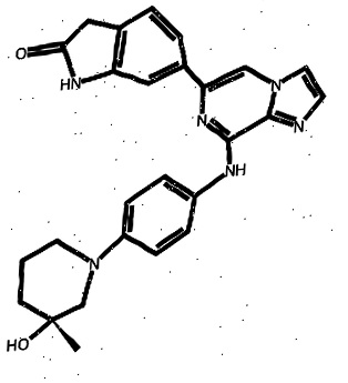 C[C@@]1(O)CCCN(c2ccc(Nc3nc(-c4ccc5c(c4)NC(=O)C5)cn4ccnc34)cc2)C1